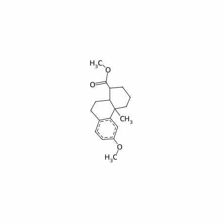 COC(=O)C1CCCC2(C)c3cc(OC)ccc3CCC12